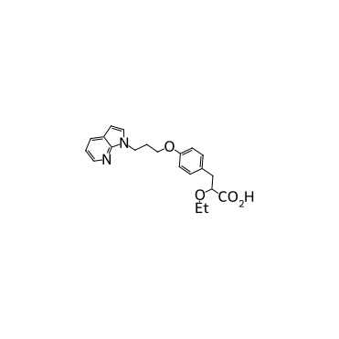 CCOC(Cc1ccc(OCCCn2ccc3cccnc32)cc1)C(=O)O